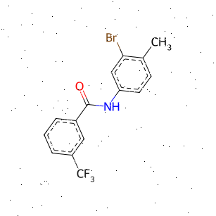 Cc1ccc(NC(=O)c2cccc(C(F)(F)F)c2)cc1Br